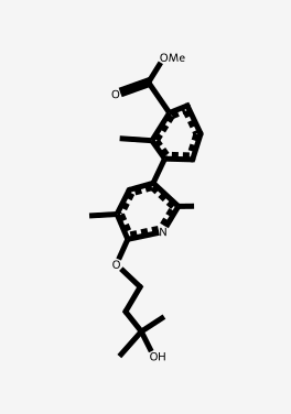 COC(=O)c1cccc(-c2cc(C)c(OCCC(C)(C)O)nc2C)c1C